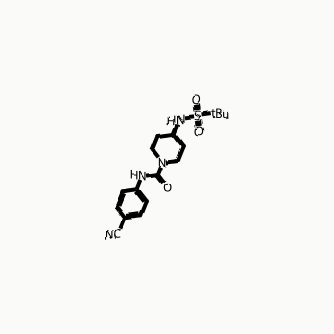 CC(C)(C)S(=O)(=O)NC1CCN(C(=O)Nc2ccc(C#N)cc2)CC1